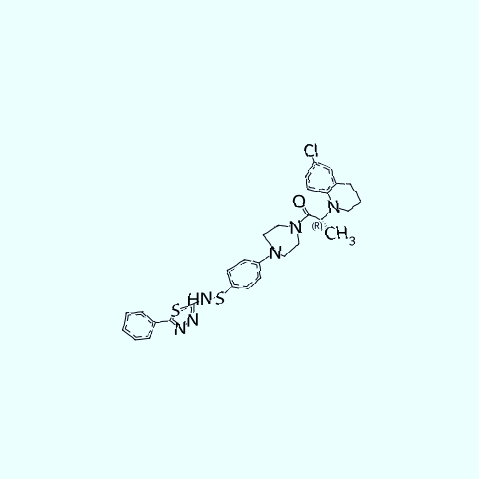 C[C@H](C(=O)N1CCN(c2ccc(SNc3nnc(-c4ccccc4)s3)cc2)CC1)N1CCCc2cc(Cl)ccc21